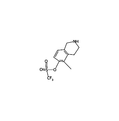 Cc1c(OS(=O)(=O)C(F)(F)F)ccc2c1CCNC2